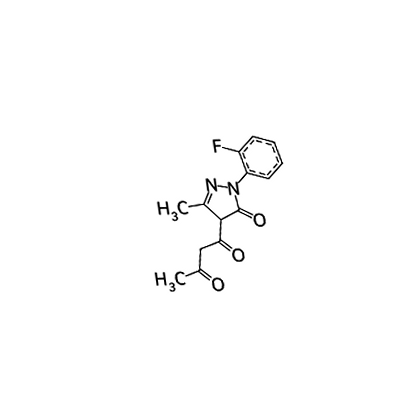 CC(=O)CC(=O)C1C(=O)N(c2ccccc2F)N=C1C